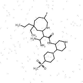 CCCC1(CC)CCC(F)CNC(C(C(=O)NC2CNCCC2N2CCC(S(C)(=O)=O)CC2)C(N)N)C1